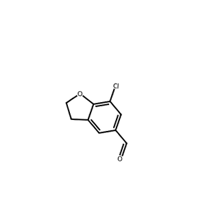 O=Cc1cc(Cl)c2c(c1)CCO2